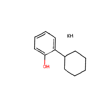 Oc1ccccc1C1CCCCC1.[KH]